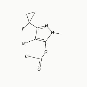 Cn1nc(C2(F)CC2)c(Br)c1OC(=O)Cl